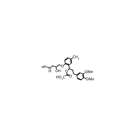 CCCNCC(O)COc1ccc(C)cc1C(CCc1ccc(OC)c(OC)c1)OC(=O)C(=O)O